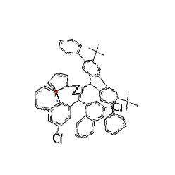 CC(C)(C)c1cc2c(cc1-c1ccccc1)[CH]([Zr](=[C](c1cc(Cl)cc3ccccc13)c1cc(Cl)cc3ccccc13)[CH]1C=CC=C1)c1cc(-c3ccccc3)c(C(C)(C)C)cc1-2